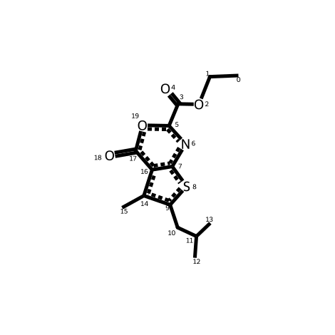 CCOC(=O)c1nc2sc(CC(C)C)c(C)c2c(=O)o1